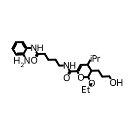 CCOC1OC(C(=O)NCCCCC(=O)Nc2ccccc2N)=CC(C(C)C)C1CCCO